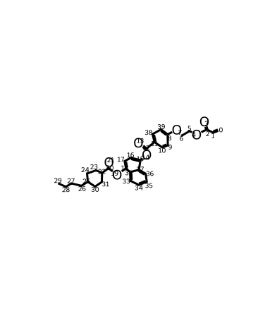 C=CC(=O)OCCOc1ccc(C(=O)Oc2ccc(OC(=O)C3CCC(CCCC)CC3)c3ccccc23)cc1